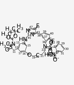 CC(C)(C)OC(=O)N=S(C)(=O)Cc1cc2cc(c1)OCCCCN(S(=O)(=O)c1ccccc1[NH+]([O-])O)c1cc(ccc1F)-c1nc(ncc1F)N2